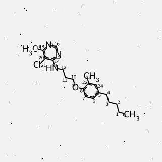 CCCCCc1ccc(OCCCNc2ncnc(C)c2Cl)c(C)c1